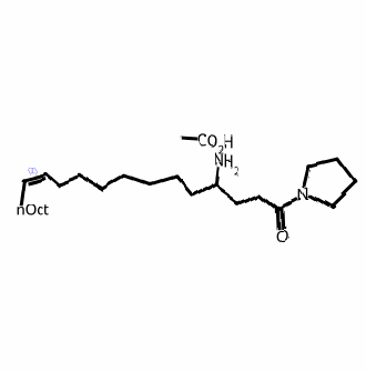 CC(=O)O.CCCCCCCC/C=C\CCCCCCCC(N)CCC(=O)N1CCCC1